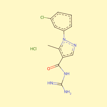 Cc1c(C(=O)NC(=N)N)cnn1-c1cccc(Cl)c1.Cl